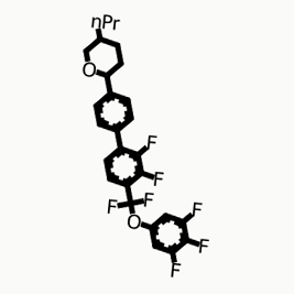 CCCC1CCC(c2ccc(-c3ccc(C(F)(F)Oc4cc(F)c(F)c(F)c4)c(F)c3F)cc2)OC1